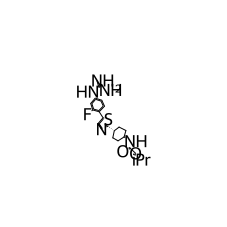 CC(C)OC(=O)N[C@H]1CC[C@H](c2ncc(-c3ccc(NC(=N)N)cc3F)s2)CC1